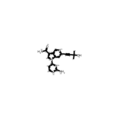 CC(C)(O)C#Cc1cc2c(cn1)c(C(N)=O)cn2-c1ccnc(N)n1